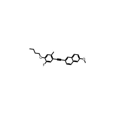 CCCCOc1cc(C)c(C#Cc2ccc3cc(OC)ccc3c2)cc1F